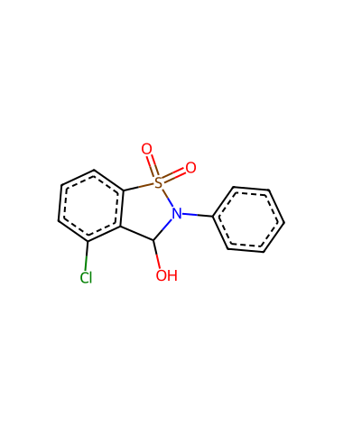 O=S1(=O)c2cccc(Cl)c2C(O)N1c1ccccc1